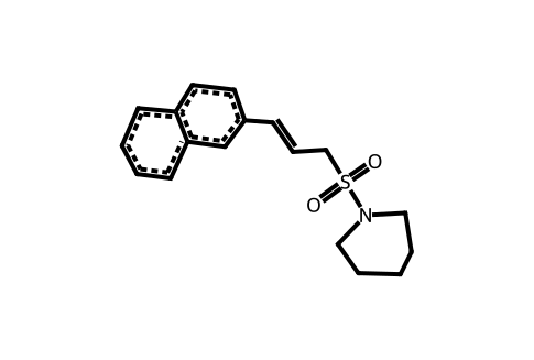 O=S(=O)(CC=Cc1ccc2ccccc2c1)N1CCCCC1